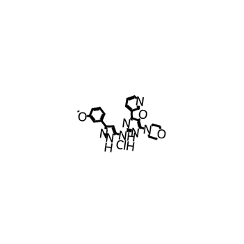 COc1cccc(-c2cc(Nc3nc(N4CCOCC4)c4oc5ncccc5c4n3)[nH]n2)c1.Cl